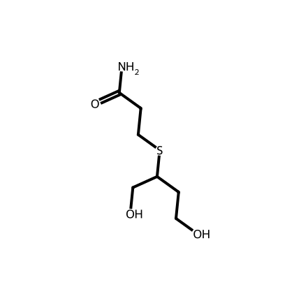 NC(=O)CCSC(CO)CCO